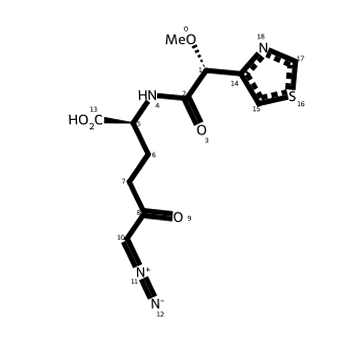 CO[C@@H](C(=O)N[C@@H](CCC(=O)C=[N+]=[N-])C(=O)O)c1cscn1